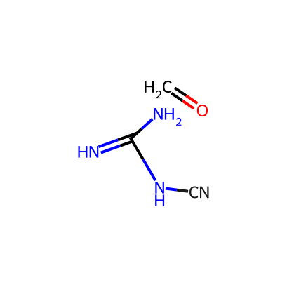 C=O.N#CNC(=N)N